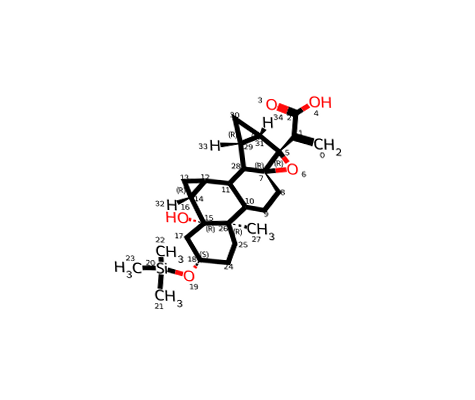 C=C(C(=O)O)[C@@]12O[C@@]13CCC1C(C4C[C@H]4[C@]4(O)C[C@@H](O[Si](C)(C)C)CC[C@]14C)C3[C@@H]1C[C@@H]12